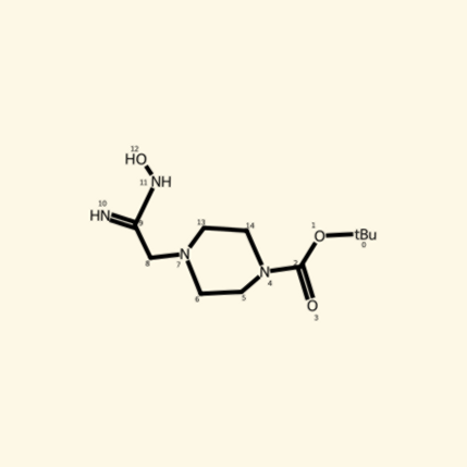 CC(C)(C)OC(=O)N1CCN(CC(=N)NO)CC1